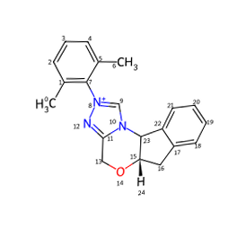 Cc1cccc(C)c1-[n+]1cn2c(n1)CO[C@H]1Cc3ccccc3C12